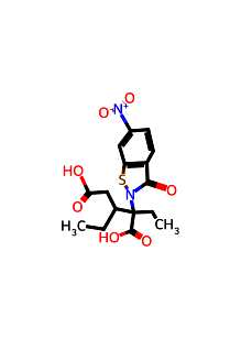 CCC(CC(=O)O)C(CC)(C(=O)O)n1sc2cc([N+](=O)[O-])ccc2c1=O